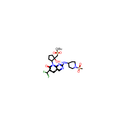 CC(C)COS(=O)(=O)CC1(O)CCCC1n1c(=O)c(C(F)F)cc2cnc(NC3CCN(S(C)(=O)=O)CC3)nc21